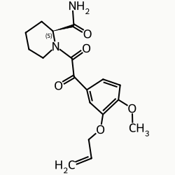 C=CCOc1cc(C(=O)C(=O)N2CCCC[C@H]2C(N)=O)ccc1OC